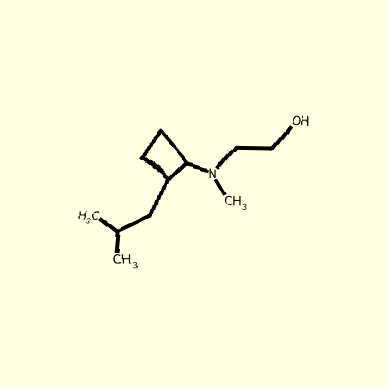 CC(C)CC1CCC1N(C)CCO